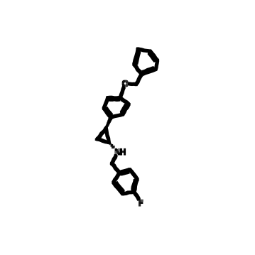 Fc1ccc(CN[C@@H]2C[C@H]2c2ccc(OCc3ccccc3)cc2)cc1